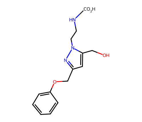 O=C(O)NCCn1nc(COc2ccccc2)cc1CO